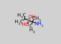 CC(C)[Si](O)(O)C(C)(C)N